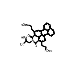 CCCCCCCCCCCCc1cc2c3cccc4cccc(c5cc(CCCCCCCCCCCC)c6c(c1C(=O)N(CC(CC)CCCC)C6=O)c25)c43